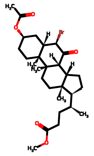 COC(=O)CC[C@@H](C)[C@H]1CC[C@H]2[C@@H]3C(=O)[C@H](Br)[C@@H]4C[C@H](OC(C)=O)CC[C@]4(C)[C@@]3(C)CC[C@]12C